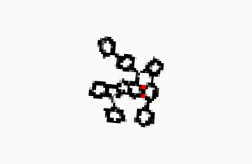 c1ccc(-c2ccc(-c3ccccc3N(c3ccc(-c4ccccc4)cc3)c3cccc4c3oc3c5ccccc5n(-c5ccccc5)c43)cc2)cc1